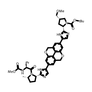 COC[C@H]1C[C@@H](c2ncc(-c3cc4c5c(c3)OCc3cc(-c6cnc([C@@H]7CC[C@H](C)N7C(=O)[C@@H](NC(=O)OC)C(C)C)[nH]6)cc(c3-5)OC4)[nH]2)N(C(=O)OC(C)(C)C)C1